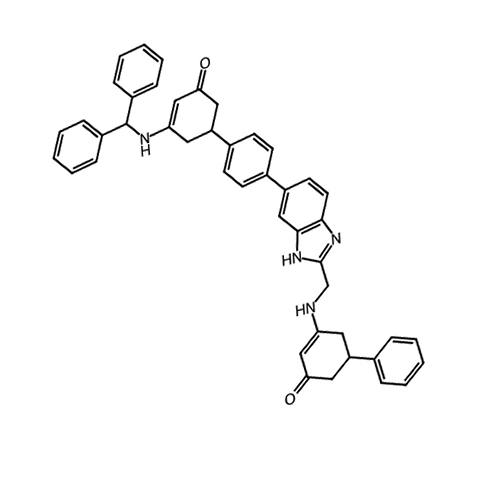 O=C1C=C(NCc2nc3ccc(-c4ccc(C5CC(=O)C=C(NC(c6ccccc6)c6ccccc6)C5)cc4)cc3[nH]2)CC(c2ccccc2)C1